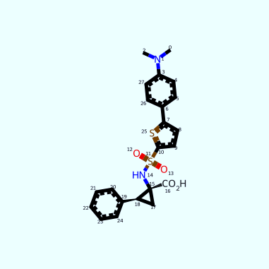 CN(C)c1ccc(-c2ccc(S(=O)(=O)N[C@]3(C(=O)O)C[C@H]3c3ccccc3)s2)cc1